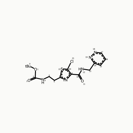 CC(C)(C)OC(=O)NCCc1nc(C(=O)NCc2cccnn2)c(Cl)s1